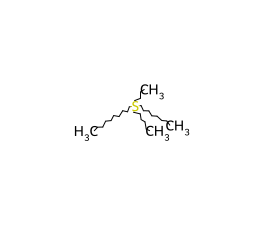 CCCCCCCCCCS(CCCC)(CCCCCC)CCCCCCCC